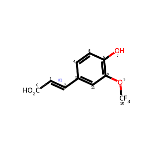 O=C(O)/C=C/c1ccc(O)c(OC(F)(F)F)c1